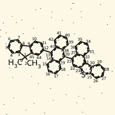 CC1(C)c2ccccc2-c2ccc(-c3c4ccccc4c(-c4cc5sc6ccccc6c5c5ccccc45)c4ccccc34)cc21